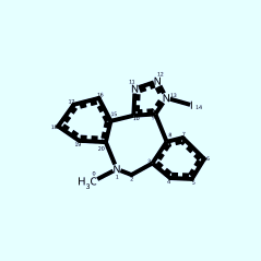 CN1Cc2ccccc2-c2c(nnn2I)-c2ccccc21